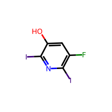 Oc1cc(F)c(I)nc1I